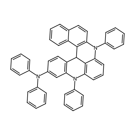 c1ccc(N(c2ccccc2)c2ccc3c(c2)N(c2ccccc2)c2cccc4c2C3c2c(ccc3ccccc23)N4c2ccccc2)cc1